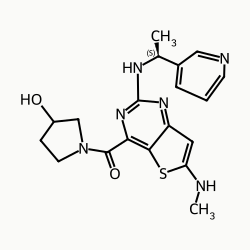 CNc1cc2nc(N[C@@H](C)c3cccnc3)nc(C(=O)N3CCC(O)C3)c2s1